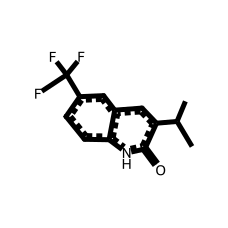 CC(C)c1cc2cc(C(F)(F)F)ccc2[nH]c1=O